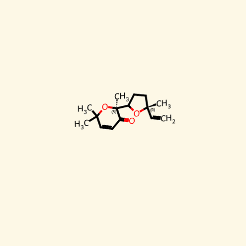 C=C[C@@]1(C)CCC([C@]2(C)OC(C)(C)C=CC2=O)O1